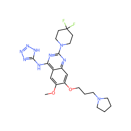 COc1cc2c(Nc3nnn[nH]3)nc(N3CCC(F)(F)CC3)nc2cc1OCCCN1CCCC1